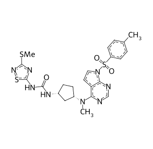 CSc1nsc(NC(=O)N[C@@H]2CC[C@H](N(C)c3ncnc4c3ccn4S(=O)(=O)c3ccc(C)cc3)C2)n1